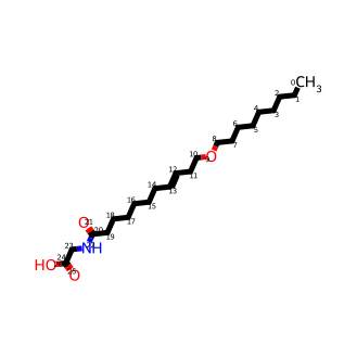 CCCCCCCCCOCCC=CCCCCCCC(=O)NCC(=O)O